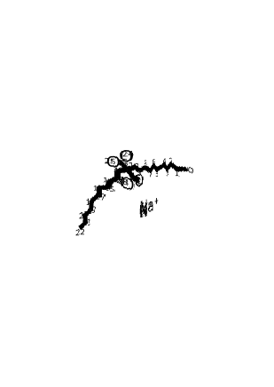 CCCCCCCCCCCC(CCCCCCCCCCC)(C(=O)[O-])C(=O)[O-].[K+].[Na+]